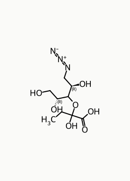 CCC(O)(OC([C@H](O)CO)[C@H](O)CN=[N+]=[N-])C(=O)O